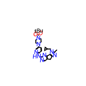 Cc1nc2c(n1CC1CC1)-c1nc(Nc3ccc(N4CCN(C(=O)OC(C)(C)C)CC4)cn3)ncc1C2